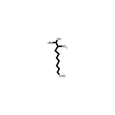 CCCCC(O)C(CCCCCCCC=O)[N+](=O)[O-]